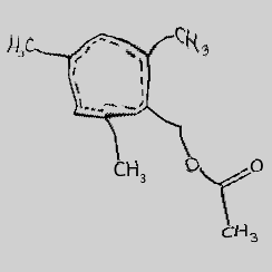 CC(=O)OCc1c(C)cc(C)cc1C